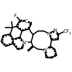 C=C1C[n+]2ccccc2-c2cc(C(F)(F)F)nn2CCC2c3ccc(F)c4c3-c3c5c(cccc5cc[n+]3C12)C4(C)C